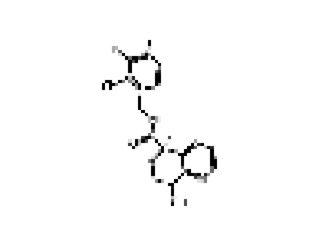 O=C(NCc1ccc(F)c(F)c1Cl)[C@]1(F)CC[C@H](O)c2ncccc21